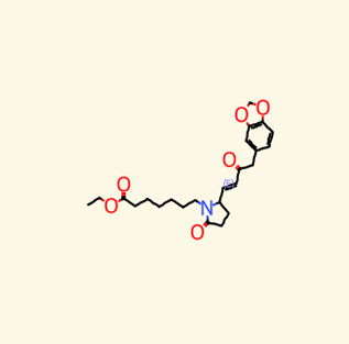 CCOC(=O)CCCCCCN1C(=O)CCC1/C=C/C(=O)Cc1ccc2c(c1)OCO2